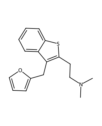 CN(C)CCc1sc2ccccc2c1Cc1ccco1